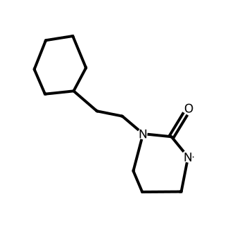 O=C1[N]CCCN1CCC1CCCCC1